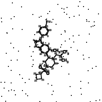 Cc1cc2c(cnn2-c2ccc(F)cc2)cc1[C@@H]1CN(S(=O)(=O)C2CCC2)CCN1CC(C)C(F)(F)F